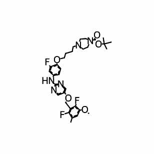 COc1cc(C)c(F)c(COc2cnc(Nc3ccc(OCCCCN4CCN(C(=O)OC(C)(C)C)CC4)c(F)c3)nc2)c1F